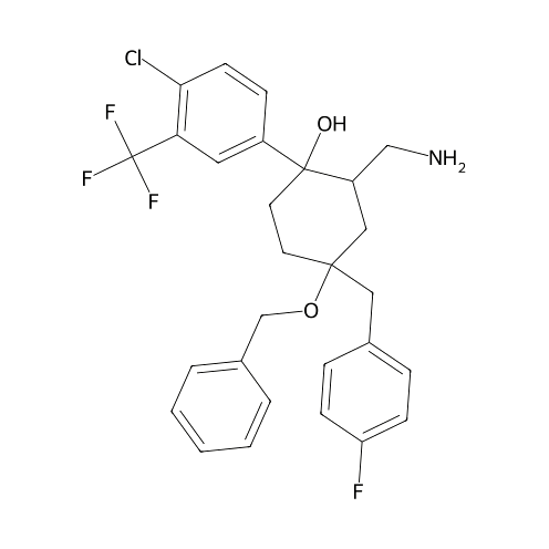 NCC1CC(Cc2ccc(F)cc2)(OCc2ccccc2)CCC1(O)c1ccc(Cl)c(C(F)(F)F)c1